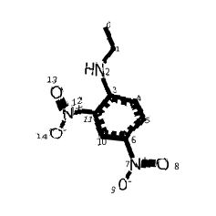 CCNc1ccc([N+](=O)[O-])cc1[N+](=O)[O-]